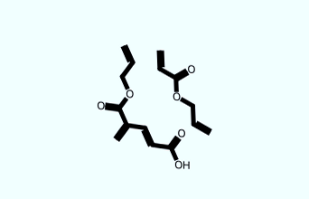 C=CCOC(=O)C(=C)C=CC(=O)O.C=CCOC(=O)C=C